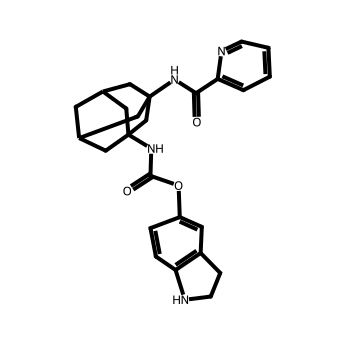 O=C(NC12CC3CC(C1)CC(NC(=O)c1ccccn1)(C3)C2)Oc1ccc2c(c1)CCN2